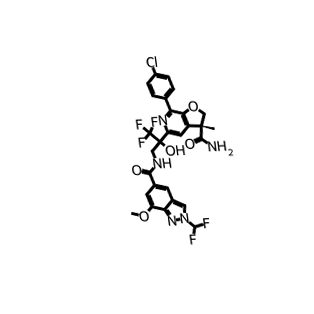 COc1cc(C(=O)NCC(O)(c2cc3c(c(-c4ccc(Cl)cc4)n2)OC[C@]3(C)C(N)=O)C(F)(F)F)cc2cn(C(F)F)nc12